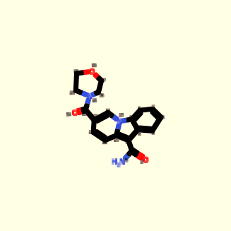 NC(=O)c1c2ccccc2n2cc(C(=O)N3CCOCC3)ccc12